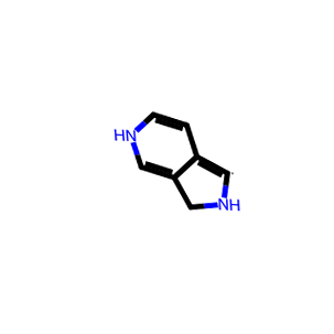 [C]1=C2C=CNC=C2CN1